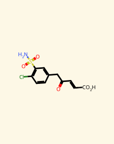 NS(=O)(=O)c1cc(CC(=O)C=CC(=O)O)ccc1Cl